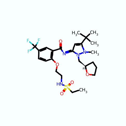 CCS(=O)(=O)NCCOc1ccc(C(F)(F)F)cc1C(=O)N=c1cc(C(C)(C)C)n(C)n1C[C@H]1CCCO1